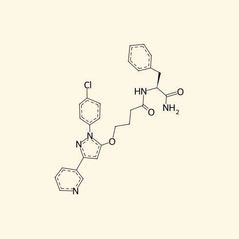 NC(=O)[C@H](Cc1ccccc1)NC(=O)CCCOc1cc(-c2cccnc2)nn1-c1ccc(Cl)cc1